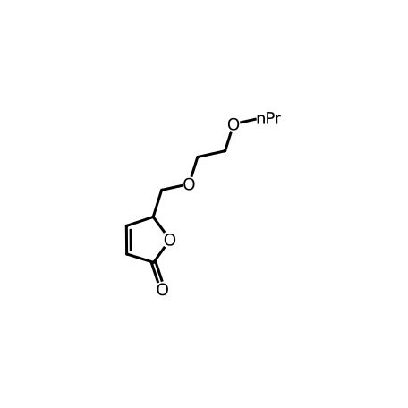 CCCOCCOCC1C=CC(=O)O1